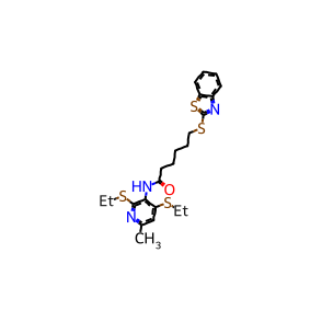 CCSc1cc(C)nc(SCC)c1NC(=O)CCCCCSc1nc2ccccc2s1